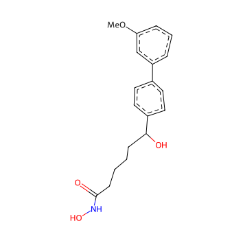 COc1cccc(-c2ccc(C(O)CCCCC(=O)NO)cc2)c1